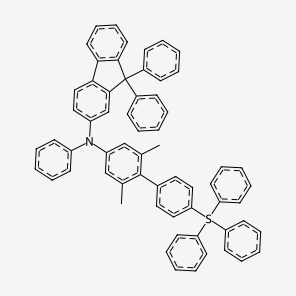 Cc1cc(N(c2ccccc2)c2ccc3c(c2)C(c2ccccc2)(c2ccccc2)c2ccccc2-3)cc(C)c1-c1ccc(S(c2ccccc2)(c2ccccc2)c2ccccc2)cc1